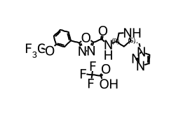 O=C(N[C@H]1CN[C@H](Cn2ccnn2)C1)c1nnc(-c2cccc(OC(F)(F)F)c2)o1.O=C(O)C(F)(F)F